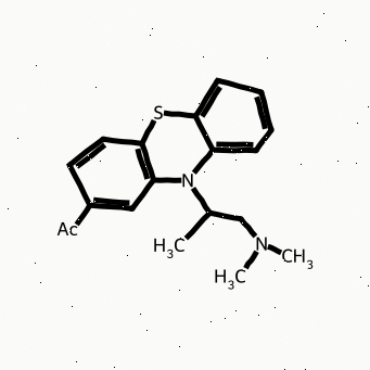 CC(=O)c1ccc2c(c1)N(C(C)CN(C)C)c1ccccc1S2